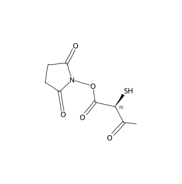 CC(=O)[C@H](S)C(=O)ON1C(=O)CCC1=O